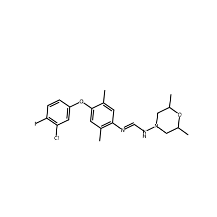 Cc1cc(Oc2ccc(I)c(Cl)c2)c(C)cc1N=CNN1CC(C)OC(C)C1